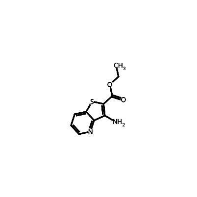 CCOC(=O)c1sc2cccnc2c1N